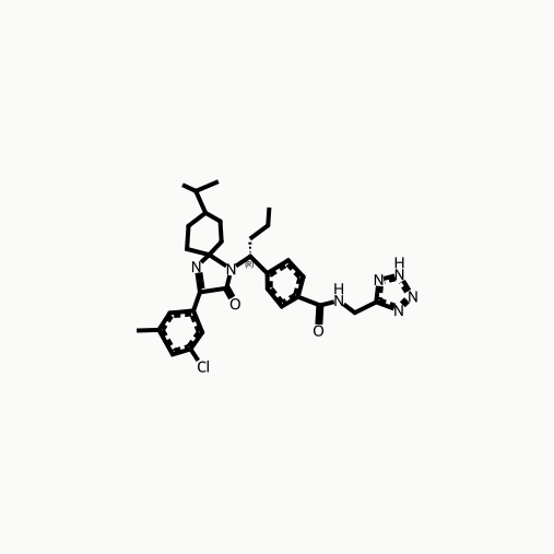 CCC[C@H](c1ccc(C(=O)NCc2nn[nH]n2)cc1)N1C(=O)C(c2cc(C)cc(Cl)c2)=NC12CCC(C(C)C)CC2